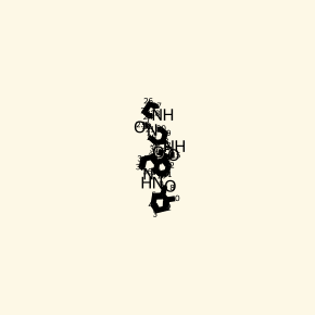 Cc1ccccc1C(=O)Nc1ccc(S(=O)(=O)N[C@H]2CCN(C(=O)[C@@H]3CCCN3)C[C@H]2C)c2cccnc12